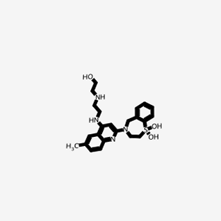 Cc1ccc2nc(N3CCS(O)(O)c4ccccc4C3)cc(NCCNCCO)c2c1